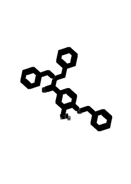 Nc1cc(C(=O)N(Cc2ccccc2)Cc2ccccc2)ccc1OCc1ccccc1